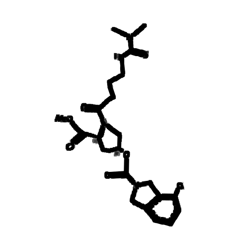 COC(=O)[C@@H]1C[C@@H](OC(=O)N2Cc3cccc(Cl)c3C2)CN1C(=O)CCCNC(=S)N(C)C